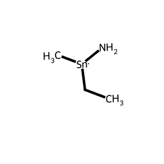 C[CH2][Sn]([CH3])[NH2]